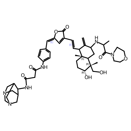 C=C1C(NC(C)C(=O)N2CCOCC2)CC2[C@](C)(CC[C@@H](O)[C@@]2(C)CO)C1/C=C/C1=CC(=C\c2ccc(NC(=O)CC(=O)NC3C4CN5CC3CN(C4)C5)cc2)/OC1=O